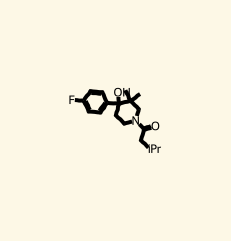 CC(C)CC(=O)N1CCC(O)(c2ccc(F)cc2)C(C)(C)C1